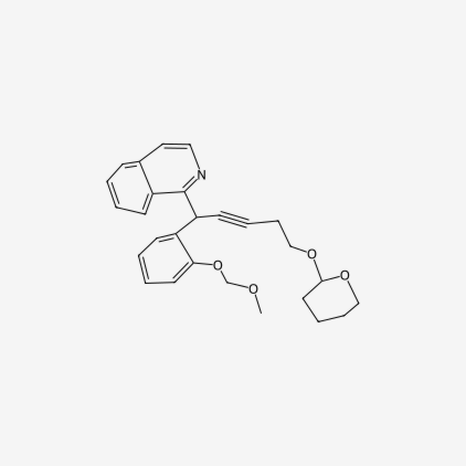 COCOc1ccccc1C(C#CCCOC1CCCCO1)c1nccc2ccccc12